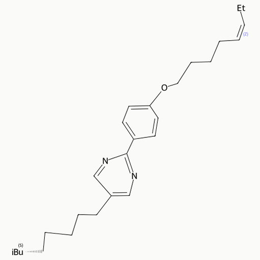 CC/C=C\CCCCOc1ccc(-c2ncc(CCCCC[C@@H](C)CC)cn2)cc1